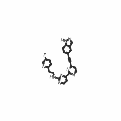 Fc1ccc(CCNc2nccc(-c3nccc(C#Cc4ccc5[nH]ncc5c4)n3)n2)nc1